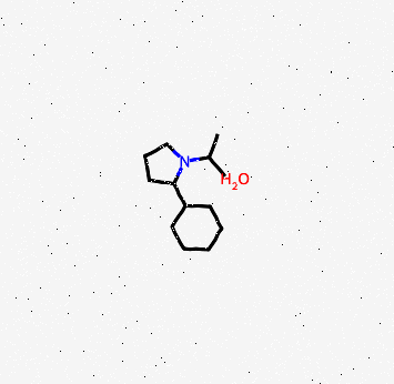 CC(C)N1CCCC1C1CCCCC1.O